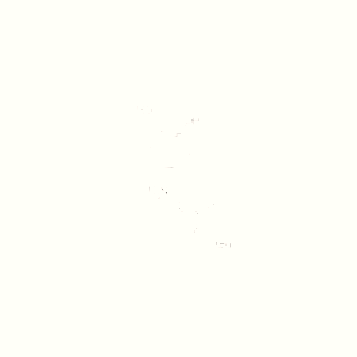 CC(C)(C)OC(=O)[C@@](C)(N)Cc1ccc(O)c(O)c1